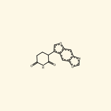 O=C1CCC(c2coc3cc4ncoc4cc23)C(=O)N1